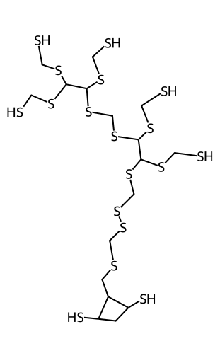 SCSC(SCS)C(SCS)SCSC(SCS)C(SCS)SCSSCSCC1C(S)CC1S